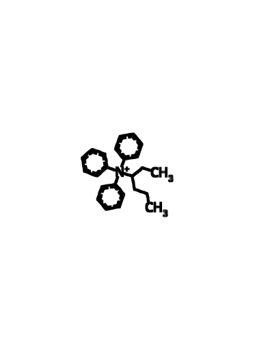 CCCC(CC)[N+](c1ccccc1)(c1ccccc1)c1ccccc1